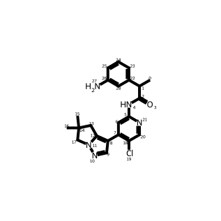 CC(C(=O)Nc1cc(-c2cnn3c2CC(C)(C)C3)c(Cl)cn1)c1cccc(N)c1